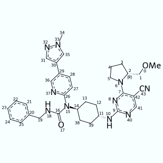 COC[C@H]1CCCN1c1nc(N[C@H]2CC[C@H](N(C(=O)NCc3ccccc3)c3ccc(-c4cnn(C)c4)cn3)CC2)ncc1C#N